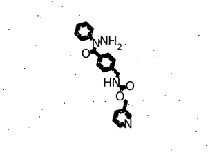 NN(C(=O)c1ccc(CNC(=O)OCc2cccnc2)cc1)c1ccccc1